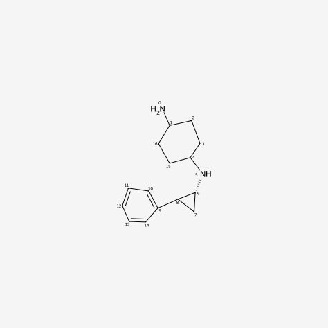 NC1CCC(N[C@@H]2CC2c2ccccc2)CC1